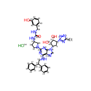 CCc1nnn([C@H]2C[C@@H](n3cnc4c(NCC(c5ccccc5)c5ccccc5)nc(N5CCC(NC(=O)NCc6cccc(O)c6)C5)nc43)[C@H](O)[C@@H]2O)n1.Cl